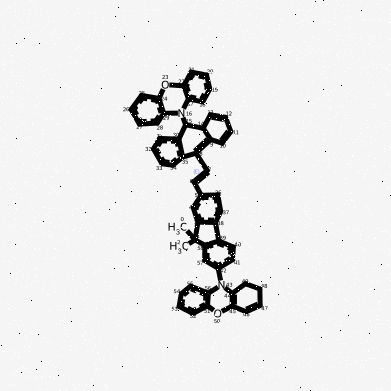 CC1(C)c2cc(/C=C/C3=C4C=CC=CC4C(N4c5ccccc5Oc5ccccc54)c4ccccc43)ccc2-c2ccc(N3C4=C(C=CCC4)Oc4ccccc43)cc21